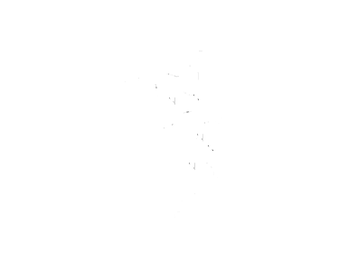 O=C(c1nc2c(C(F)(F)F)cc(C3CC3)cn2c1Cl)N1CCN(C2CC(O)C2)C(=O)N1